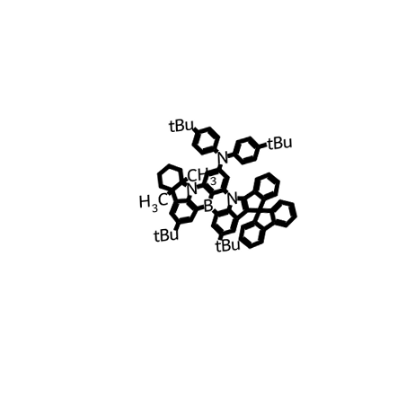 CC(C)(C)c1ccc(N(c2ccc(C(C)(C)C)cc2)c2cc3c4c(c2)-n2c5c(c6cc(C(C)(C)C)cc(c62)B4c2cc(C(C)(C)C)cc4c2N3C2(C)CCCCC42C)C2(c3ccccc3-c3ccccc32)c2ccccc2-5)cc1